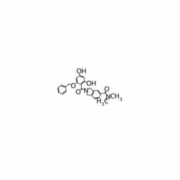 CN(C)C(=O)c1ccc2c(c1)CN(C(=O)c1c(O)cc(O)cc1OCc1ccccc1)C2